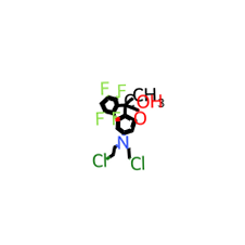 CCC(C(=O)O)(c1ccc(N(CCCl)CCCl)cc1)c1c(F)c(F)cc(F)c1F